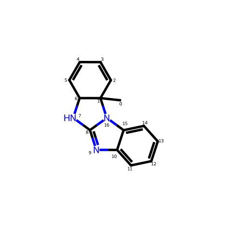 CC12C=CC=CC1Nc1nc3ccccc3n12